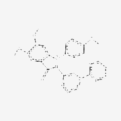 COc1ccc([C@H]2c3cc(OC)c(OC)cc3C(=O)N2c2ccnc(-c3ncccn3)n2)cc1